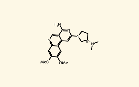 COc1cc2ncc3c(N)nc(N4CC[C@H](N(C)C)C4)cc3c2cc1OC